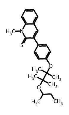 CCC(C)OC(C)(C)C(C)(C)Oc1ccc(-c2cc3ccccc3n(C)c2=S)cc1